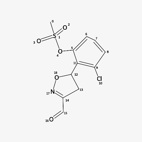 CS(=O)(=O)Oc1cccc(Cl)c1C1CC(C=O)=NO1